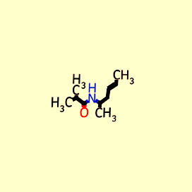 C/C=C/CC(C)NC(=O)C(C)C